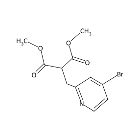 COC(=O)C(Cc1cc(Br)ccn1)C(=O)OC